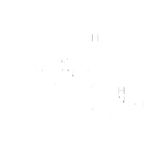 Cc1ccc(SCc2ccccc2NO)c(NS(=O)(=O)c2cc3ccccc3o2)c1